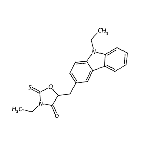 CCN1C(=O)C(Cc2ccc3c(c2)c2ccccc2n3CC)OC1=S